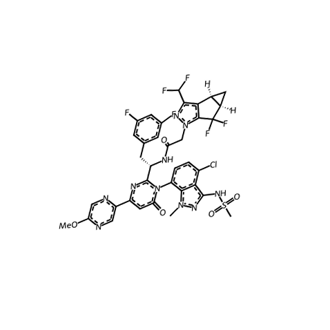 COc1cnc(-c2cc(=O)n(-c3ccc(Cl)c4c(NS(C)(=O)=O)nn(C)c34)c([C@H](Cc3cc(F)cc(F)c3)NC(=O)Cn3nc(C(F)F)c4c3C(F)(F)[C@@H]3C[C@H]43)n2)cn1